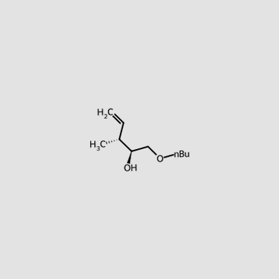 C=C[C@@H](C)[C@H](O)COCCCC